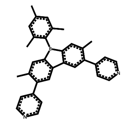 Cc1cc(C)c(B2c3cc(C)c(-c4ccncc4)cc3-c3cc(-c4ccncc4)c(C)cc32)c(C)c1